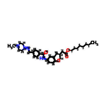 CCCCCCCCOC(=O)CC1COc2ccc(NC(=O)c3ccc(C=NN4CCN(C)CC4)cc3)cc2C1